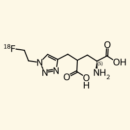 N[C@@H](CC(Cc1cn(CC[18F])nn1)C(=O)O)C(=O)O